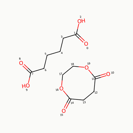 O=C(O)CCCCC(=O)O.O=C1CCC(=O)OCCO1